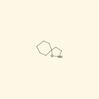 C1CCC2(CC1)CCNO2